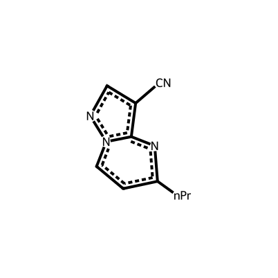 CCCc1ccn2ncc(C#N)c2n1